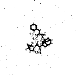 CN(C)[C@@H](Cc1ccccc1)C(=O)OC12CC3CC(C1)CC([C@H](N)C(=O)N1[C@H](C#N)C[C@@H]4C[C@@H]41)(C3)C2